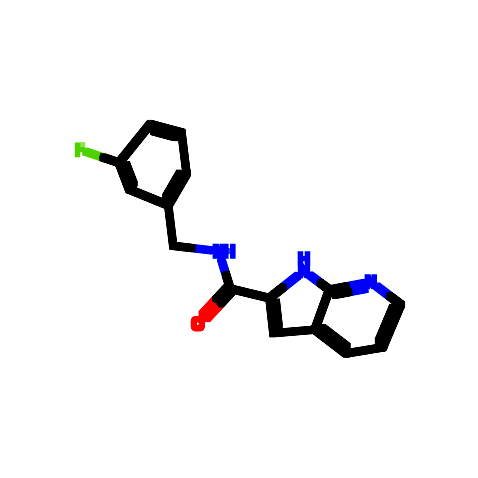 O=C(NCc1cccc(F)c1)c1cc2cccnc2[nH]1